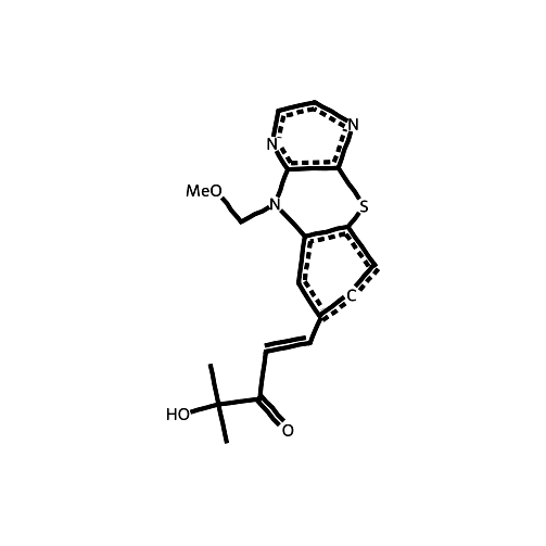 COCN1c2cc(C=CC(=O)C(C)(C)O)ccc2Sc2nccnc21